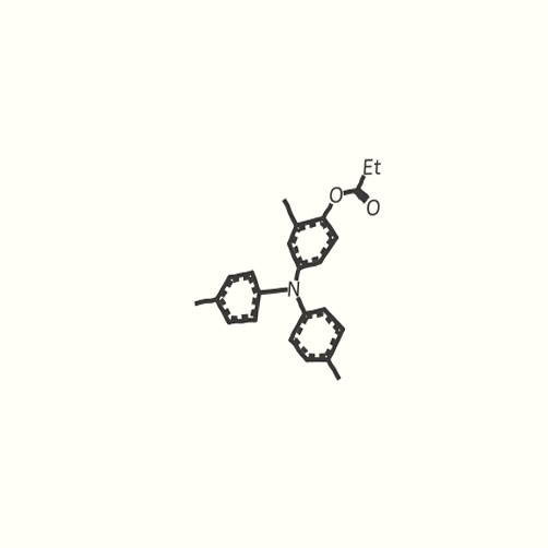 CCC(=O)Oc1ccc(N(c2ccc(C)cc2)c2ccc(C)cc2)cc1C